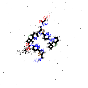 CC(C)(C)OC(=O)N(CC1(c2ncccc2F)CCC1)c1ccc(-c2ncc(CN)s2)nn1.O=C(CO)NCc1cnc(-c2ccc(NCC3(c4ncccc4F)CCC3)nn2)s1